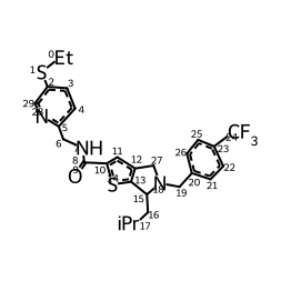 CCSc1ccc(CNC(=O)c2cc3c(s2)C(CC(C)C)N(Cc2ccc(C(F)(F)F)cc2)C3)nc1